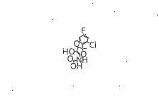 CC1(c2ccc(F)cc2Cl)OC(NC(=O)O)=C(O)C1=O